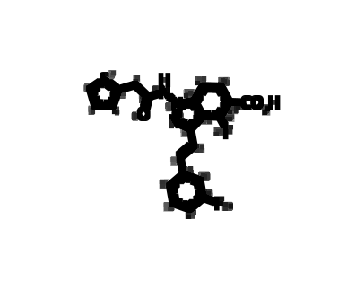 O=C(Cc1cccs1)Nn1nc(/C=C/c2cccc(F)c2)c2c(F)c(C(=O)O)ccc21